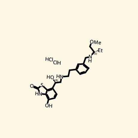 CC[C@@H](COC)NCc1cccc(CCNC[C@H](O)c2ccc(O)c3[nH]c(=O)sc23)c1.Cl.Cl